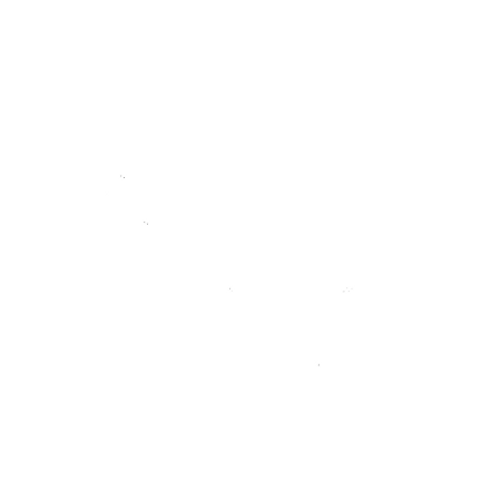 CCNS(=O)(=O)c1cc(C(=O)CCCCN2CCN(c3ccccc3)CC2)ccc1SC